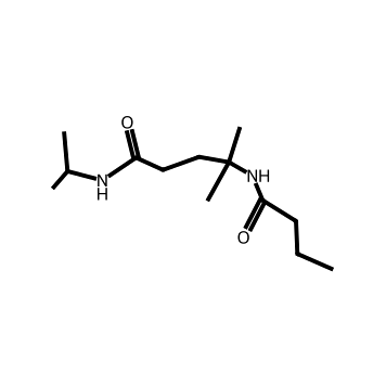 CCCC(=O)NC(C)(C)CCC(=O)NC(C)C